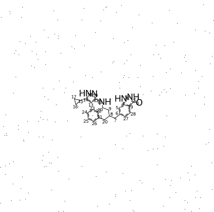 O=c1[nH][nH]c2cc(CC(CCNc3cc(C4CC4)[nH]n3)Cc3ccccc3)ccc12